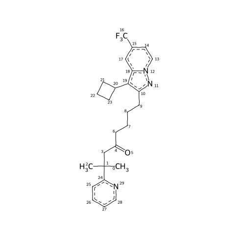 CC(C)(CC(=O)CCCCc1nn2ccc(C(F)(F)F)cc2c1C1CCC1)c1ccccn1